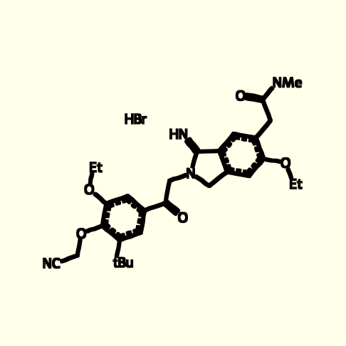 Br.CCOc1cc2c(cc1CC(=O)NC)C(=N)N(CC(=O)c1cc(OCC)c(OCC#N)c(C(C)(C)C)c1)C2